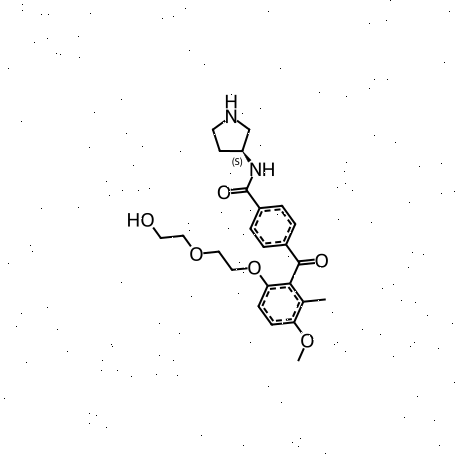 COc1ccc(OCCOCCO)c(C(=O)c2ccc(C(=O)N[C@H]3CCNC3)cc2)c1C